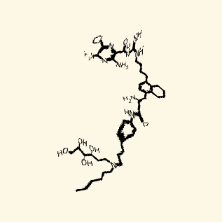 CCCCCCN(CCCc1ccc(NC(=O)[C@@H](N)Cc2ccc(CCCCNC(=N)NC(=O)c3nc(Cl)c(N)nc3N)c3c2CCCC3)cc1)CC[C@@H](O)[C@H](O)[C@H](O)CO